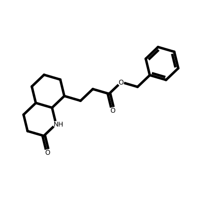 O=C1CCC2CCCC(CCC(=O)OCc3ccccc3)C2N1